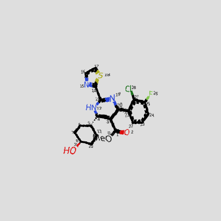 COC(=O)C1=C([C@H]2CC[C@H](O)CC2)NC(c2nccs2)=NC1c1cccc(F)c1Cl